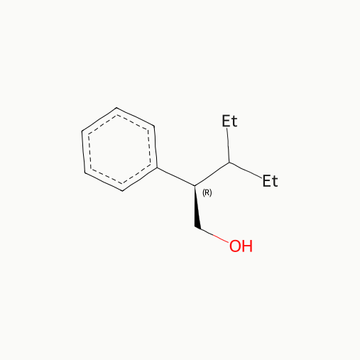 CCC(CC)[C@@H](CO)c1ccccc1